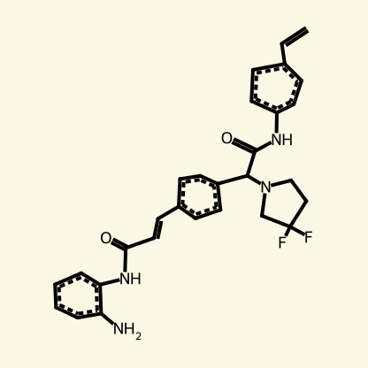 C=Cc1ccc(NC(=O)C(c2ccc(/C=C/C(=O)Nc3ccccc3N)cc2)N2CCC(F)(F)C2)cc1